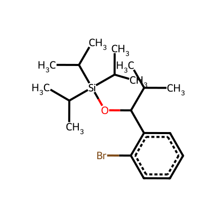 CC(C)C(O[Si](C(C)C)(C(C)C)C(C)C)c1ccccc1Br